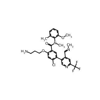 C/N=C/c1cc(C(F)(F)F)ncc1-c1cc(C(=O)N(C)c2c(C)cccc2OC)c(OCCCN)cc1Cl